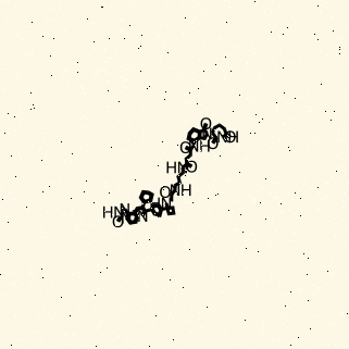 O=C(CCC(=O)Nc1cccc2c1CN(C1CCCC(=O)NC1=O)C2=O)NCCCCNC(=O)CNC1(c2ccc(-c3nc4ccn5c(=O)[nH]nc5c4cc3-c3ccccc3)cc2)CCC1